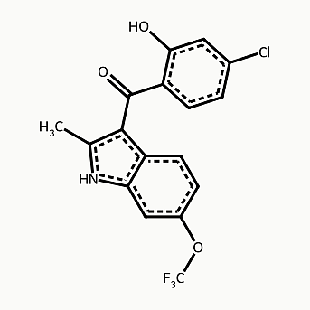 Cc1[nH]c2cc(OC(F)(F)F)ccc2c1C(=O)c1ccc(Cl)cc1O